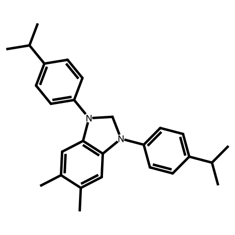 Cc1cc2c(cc1C)N(c1ccc(C(C)C)cc1)CN2c1ccc(C(C)C)cc1